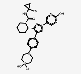 N#CC1(NC(=O)[C@@H]2CCCC[C@H]2c2nn(-c3cnc(O)nc3)cc2-c2ccc(N3CCS(O)(O)CC3)cc2)CC1